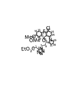 CCOC(=O)Cc1nnnn1CC[C@H]1O[C@H](c2c(F)ccc(OC)c2OC)c2cc(Cl)ccc2-n2cccc21